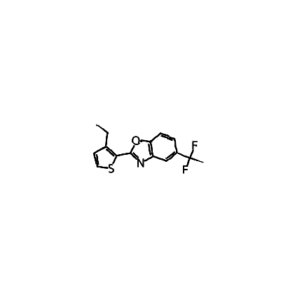 CCc1ccsc1-c1nc2cc(C(C)(F)F)ccc2o1